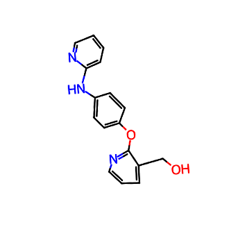 OCc1cccnc1Oc1ccc(Nc2ccccn2)cc1